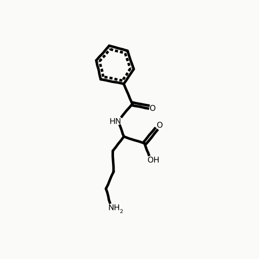 NCCCC(NC(=O)c1ccccc1)C(=O)O